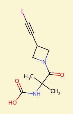 CC(C)(NC(=O)O)C(=O)N1CC(C#CI)C1